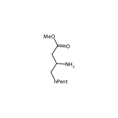 CCCCCCC(N)CC(=O)OC